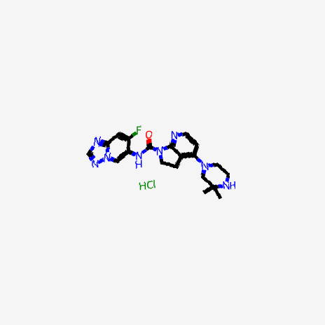 CC1(C)CN(c2ccnc3c2CCN3C(=O)Nc2cn3ncnc3cc2F)CCN1.Cl